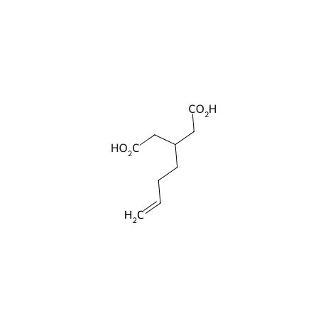 C=CCCC(CC(=O)O)CC(=O)O